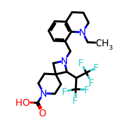 CCN1CCCc2cccc(CN3CC4(CCN(C(=O)O)CC4)C3C(C(F)(F)F)C(F)(F)F)c21